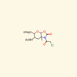 CCCCCCCC1OC2OC(=O)N(C(=O)CCl)C2(C)CC1NC(C)=O